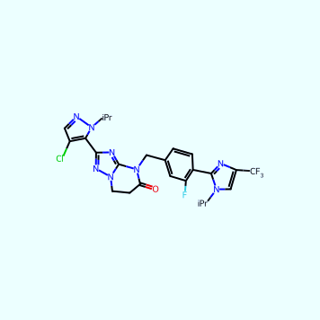 CC(C)n1cc(C(F)(F)F)nc1-c1ccc(CN2C(=O)CCn3nc(-c4c(Cl)cnn4C(C)C)nc32)cc1F